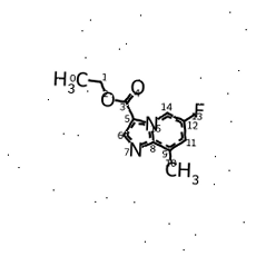 CCOC(=O)c1cnc2c(C)cc(F)cn12